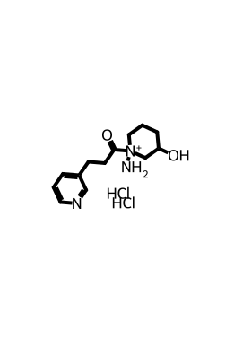 Cl.Cl.N[N+]1(C(=O)CCc2cccnc2)CCCC(O)C1